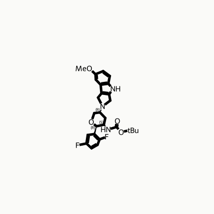 COc1ccc2[nH]c3c(c2c1)CN([C@H]1CO[C@H](c2cc(F)ccc2F)[C@@H](NC(=O)OC(C)(C)C)C1)C3